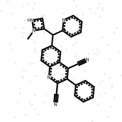 Cn1[nH]cc1C(c1ccc2nc(C#N)c(-c3ccccc3)c(C#N)c2c1)c1ccccn1